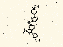 CC(C)n1nc(N2CC[C@@H](O)C2)c2cnc(Nc3ccnc(N4CCC(C)(O)CC4)n3)cc21